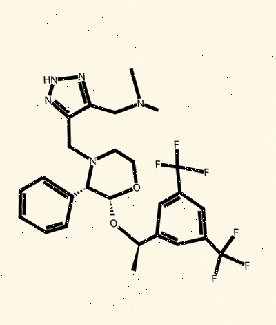 C[C@@H](O[C@H]1OCCN(Cc2n[nH]nc2CN(C)C)[C@H]1c1ccccc1)c1cc(C(F)(F)F)cc(C(F)(F)F)c1